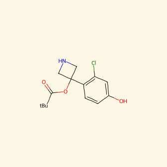 CC(C)(C)C(=O)OC1(c2ccc(O)cc2Cl)CNC1